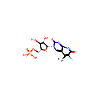 Cc1c(F)c(=O)[nH]c2nc(=O)n([C@@H]3O[C@H](COP(=O)(O)O)C(O)[C@@H]3O)cc12